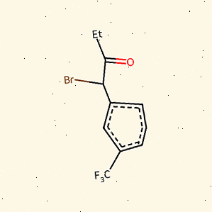 CCC(=O)C(Br)c1cccc(C(F)(F)F)c1